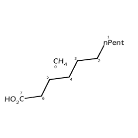 C.CCCCCCCCCCC(=O)O